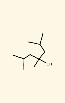 CC(C)CC(C)(O)CC(C)C